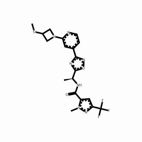 COC1CN(c2cc(-c3noc([C@H](C)NC(=O)c4cc(C(F)(F)F)nn4C)n3)ccn2)C1